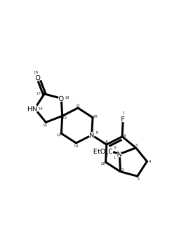 CCOC(=O)N1C2CCC1C(F)=C(N1CCC3(CC1)CNC(=O)O3)C2